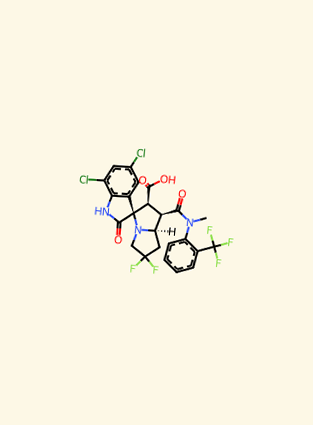 CN(C(=O)[C@H]1[C@H]2CC(F)(F)CN2[C@]2(C(=O)Nc3c(Cl)cc(Cl)cc32)[C@H]1C(=O)O)c1ccccc1C(F)(F)F